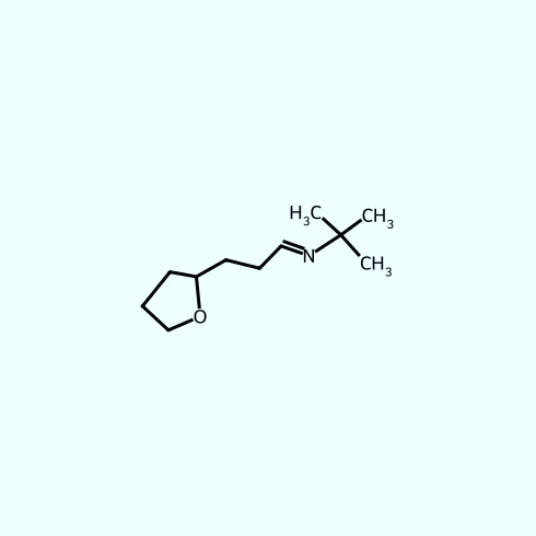 CC(C)(C)N=CCCC1CCCO1